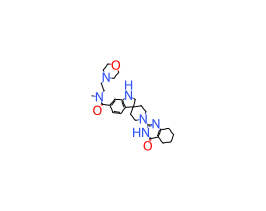 CN(CCN1CCOCC1)C(=O)c1ccc2c(c1)NCC21CCN(c2nc3c(c(=O)[nH]2)CCCC3)CC1